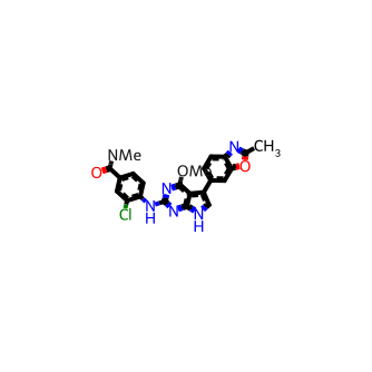 CNC(=O)c1ccc(Nc2nc(OC)c3c(-c4ccc5nc(C)oc5c4)c[nH]c3n2)c(Cl)c1